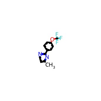 Cc1ccnc(-c2ccc(OC(F)(F)F)cc2)n1